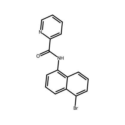 O=C(Nc1cccc2c(Br)cccc12)c1ccccn1